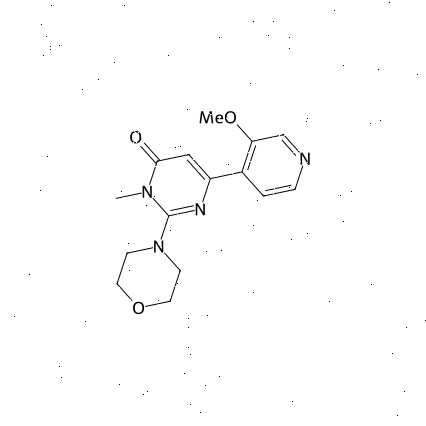 COc1cnccc1-c1cc(=O)n(C)c(N2CCOCC2)n1